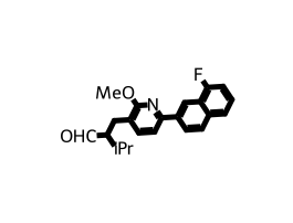 COc1nc(-c2ccc3cccc(F)c3c2)ccc1CC(C=O)C(C)C